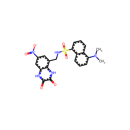 CN(C)c1cccc2c(S(=O)(=O)NCc3cc([N+](=O)[O-])cc4[nH]c(=O)c(=O)[nH]c34)cccc12